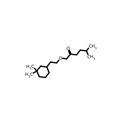 CC(C)CCC(=O)COCCC1CCCC(C)(C)C1